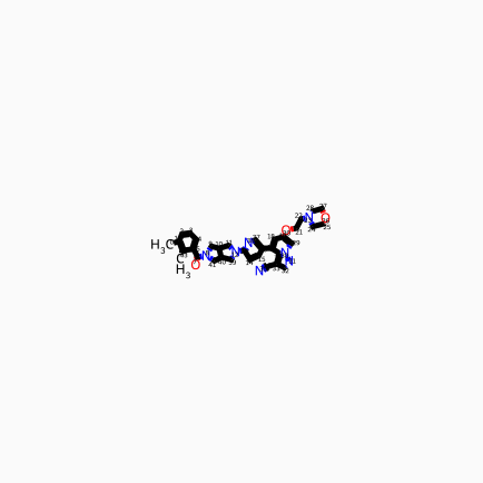 Cc1cccc(C(=O)N2CC3CN(c4ccc(-c5cc(OCCN6CCOCC6)cn6ncc(C#N)c56)cn4)CC3C2)c1C